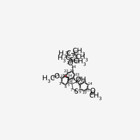 COc1ccc(C2CSc3cc(OC)ccc3C2(O)c2cccc(CO[Si](C)(C)C(C)(C)C)c2)cc1